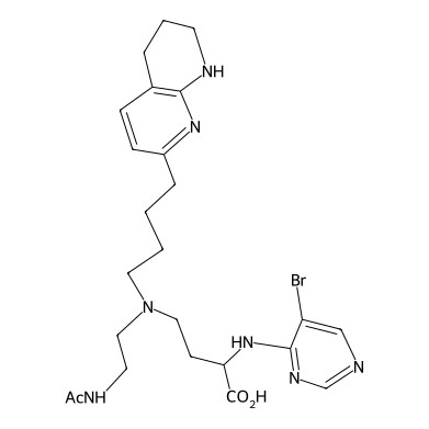 CC(=O)NCCN(CCCCc1ccc2c(n1)NCCC2)CCC(Nc1ncncc1Br)C(=O)O